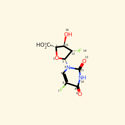 O=C(O)[C@H]1O[C@@H](n2cc(F)c(=O)[nH]c2=O)[C@@H](F)[C@@H]1O